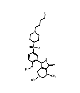 CCCOc1ccc(S(=O)(=O)N2CCN(CCCCF)CC2)cc1C1NC(=O)C2=C1CN(CCC)CN2C